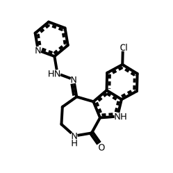 O=C1NCCC(=NNc2ccccn2)c2c1[nH]c1ccc(Cl)cc21